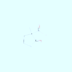 CC1(C(=O)O)CCNC1=O